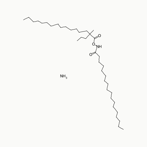 CCCCCCCCCCCCCCCCCC(=O)NOC(=O)C(C)(CCC)CCCCCCCCCCCCCC.N